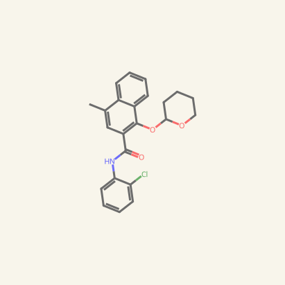 Cc1cc(C(=O)Nc2ccccc2Cl)c(OC2CCCCO2)c2ccccc12